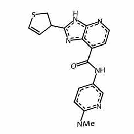 CNc1ccc(NC(=O)c2ccnc3[nH]c(C4C=CSC4)nc23)cn1